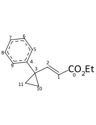 CCOC(=O)/C=C/C1(c2ccccc2)CC1